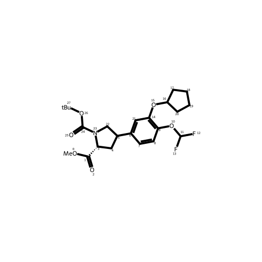 COC(=O)[C@H]1CC(c2ccc(OC(F)F)c(OC3CCCC3)c2)CN1C(=O)OC(C)(C)C